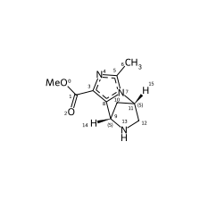 COC(=O)c1nc(C)n2c1[C@@H]1C[C@H]2CN1